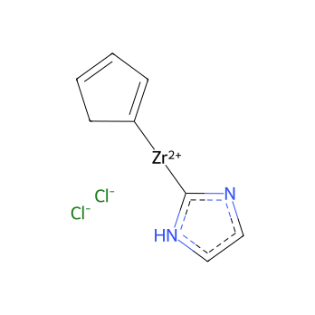 C1=CC[C]([Zr+2][c]2ncc[nH]2)=C1.[Cl-].[Cl-]